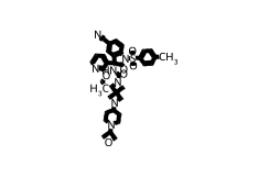 CCOc1ncccc1[C@]1(NC(=O)N2CC3(C2)CN(C2CCN(C4COC4)CC2)C3)C(=O)N(S(=O)(=O)c2ccc(C)cc2)c2ccc(C#N)cc21